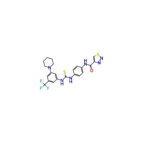 O=C(Nc1ccc(NC(=S)Nc2cc(N3CCCCC3)cc(C(F)(F)F)c2)cc1)c1csnn1